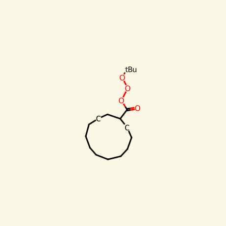 CC(C)(C)OOOC(=O)C1CCCCCCCCCCC1